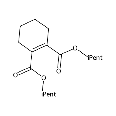 CCCC(C)OC(=O)C1=C(C(=O)OC(C)CCC)CCCC1